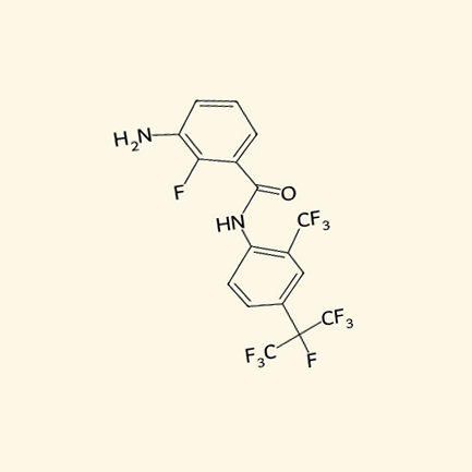 Nc1cccc(C(=O)Nc2ccc(C(F)(C(F)(F)F)C(F)(F)F)cc2C(F)(F)F)c1F